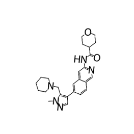 Cn1ncc(-c2ccc3cnc(NC(=O)C4CCOCC4)cc3c2)c1CN1CCCCC1